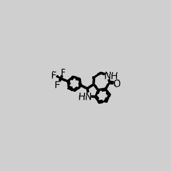 O=C1NCCC2c3c(cccc31)NC2c1ccc(C(F)(F)F)cc1